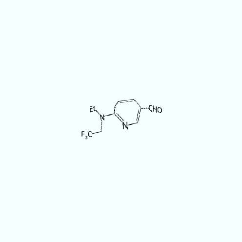 CCN(CC(F)(F)F)c1ccc(C=O)cn1